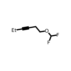 CCC#CCCOC(F)F